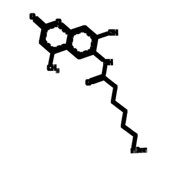 CCCCCCCCCCCCCCCC(=O)Nc1cc2c(C)cc(=O)oc2cc1O